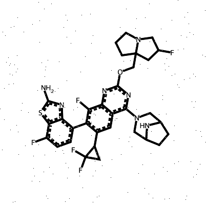 Nc1nc2c(-c3c(C4CC4(F)F)cc4c(N5CC6CCC(C5)N6)nc(OCC56CCCN5CC(F)C6)nc4c3F)ccc(F)c2s1